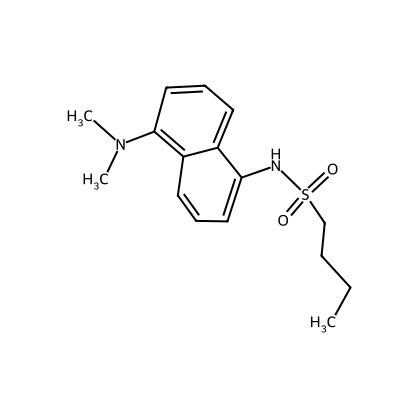 CCCCS(=O)(=O)Nc1cccc2c(N(C)C)cccc12